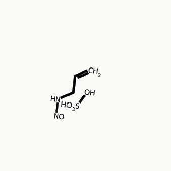 C=CCNN=O.O=S(=O)(O)O